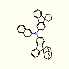 c1ccc2c(c1)-c1cc(N(c3ccc4c(c3)-c3ccccc3C43C4CCC5CC(C4)CC3C5)c3ccc4ccccc4c3)ccc1C21CCCC1